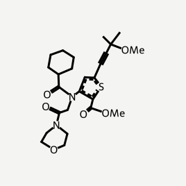 COC(=O)c1sc(C#CC(C)(C)OC)cc1N(CC(=O)N1CCOCC1)C(=O)C1CCCCC1